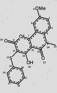 COc1ccc2c(c1)c1oc(=O)c(Sc3ccccc3)c(O)c1c(=O)n2C